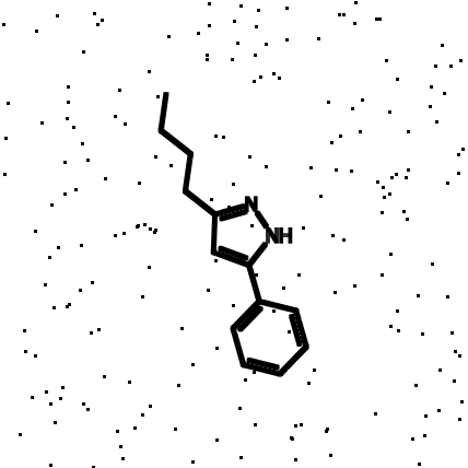 CCCCc1cc(-c2ccccc2)[nH]n1